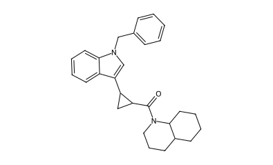 O=C(C1CC1c1cn(Cc2ccccc2)c2ccccc12)N1CCCC2CCCCC21